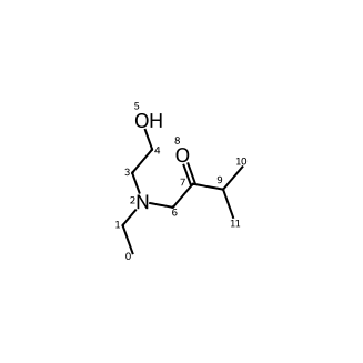 CCN(CCO)CC(=O)C(C)C